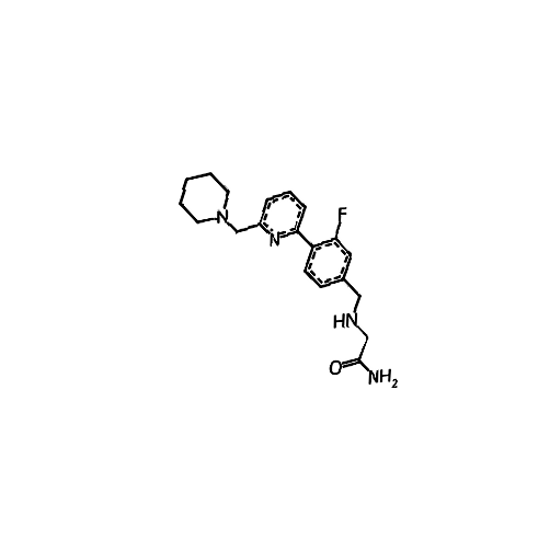 NC(=O)CNCc1ccc(-c2cccc(CN3CCCCC3)n2)c(F)c1